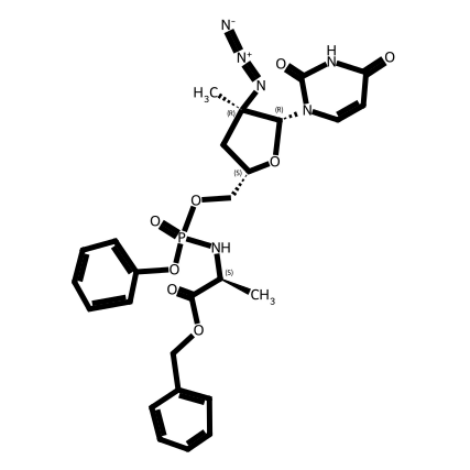 C[C@H](NP(=O)(OC[C@@H]1C[C@@](C)(N=[N+]=[N-])[C@H](n2ccc(=O)[nH]c2=O)O1)Oc1ccccc1)C(=O)OCc1ccccc1